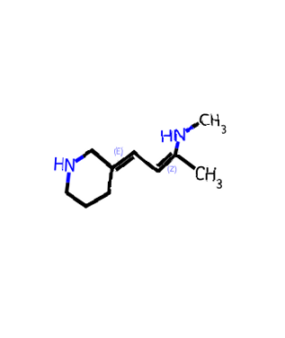 CN/C(C)=C\C=C1/CCCNC1